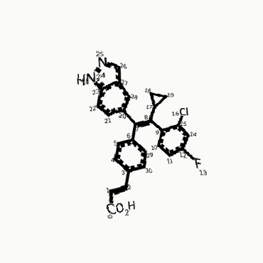 O=C(O)C=Cc1ccc(C(=C(c2ccc(F)cc2Cl)C2CC2)c2ccc3[nH]ncc3c2)cc1